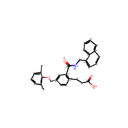 Cc1cccc(C)c1OCc1ccc(CCC(=O)O)c(C(=O)NCc2cccc3ccccc23)c1